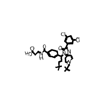 CC(C)(C)CCC(C1=CC=C(C(=O)NCCC(=O)O)CC1)N1C(=O)C(c2cc(Cl)cc(Cl)c2)=NC12CCN(CC(C)(C)C)CC2